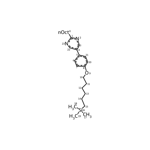 CCCCCCCCc1ncc(-c2ccc(OCCCCCC[Si](C)(C)C)cc2)cn1